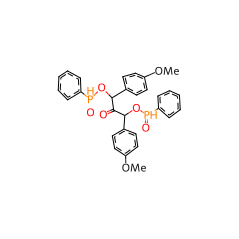 COc1ccc(C(O[PH](=O)c2ccccc2)C(=O)C(O[PH](=O)c2ccccc2)c2ccc(OC)cc2)cc1